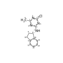 Cc1nc(Cl)nc(N[C@H]2CCc3ccccc32)n1